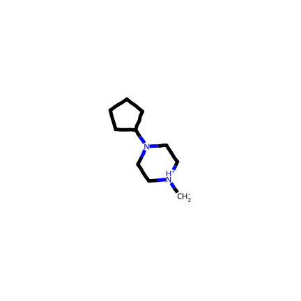 [CH2-][NH+]1CCN(C2CCCC2)CC1